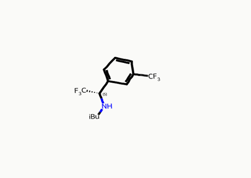 CCC(C)N[C@@H](c1cccc(C(F)(F)F)c1)C(F)(F)F